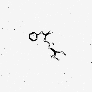 CNC(=NNOC(=O)Oc1ccccc1)OC